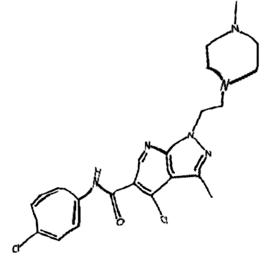 Cc1nn(CCN2CCN(C)CC2)c2ncc(C(=O)Nc3ccc(Cl)cc3)c(Cl)c12